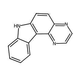 [c]1cc2[nH]c3ccccc3c2c2nccnc12